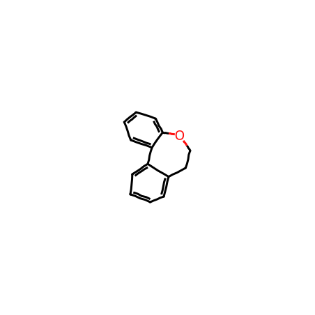 c1ccc2c(c1)CCOc1ccccc1-2